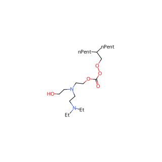 CCCCCC(CCCCC)COOC(=O)OCCN(CCO)CCN(CC)CC